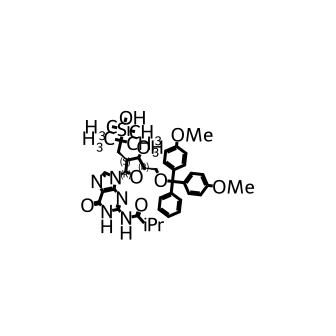 COc1ccc(C(OC[C@H]2O[C@@H](n3cnc4c(=O)[nH]c(NC(=O)C(C)C)nc43)[C@@H](CC(C)(C)[Si](C)(C)O)C2O)(c2ccccc2)c2ccc(OC)cc2)cc1